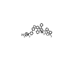 C/C=C\C(=C/C)c1cccc(-c2ccc3oc4cccc(-c5ccccc5-c5nc(Cc6cccc7c6C(C)(C)c6ccccc6-7)cc(-c6ccccc6)n5)c4c3c2)c1